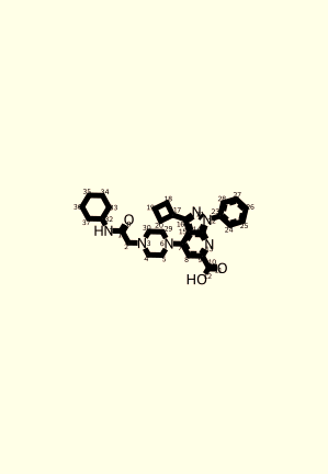 O=C(CN1CCN(c2cc(C(=O)O)nc3c2c(C2CCC2)nn3-c2ccccc2)CC1)NC1CCCCC1